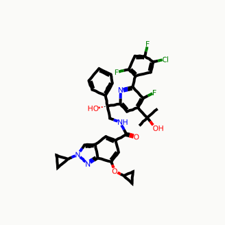 CC(C)(O)c1cc([C@@](O)(CNC(=O)c2cc(OC3CC3)c3nn(C4CC4)cc3c2)c2ccccc2)nc(-c2cc(Cl)c(F)cc2F)c1F